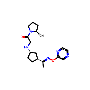 C/C(=N\Oc1cnccn1)[C@@H]1CC[C@H](NCC(=O)N2CCC[C@H]2C#N)C1